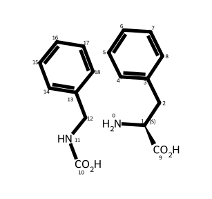 N[C@@H](Cc1ccccc1)C(=O)O.O=C(O)NCc1ccccc1